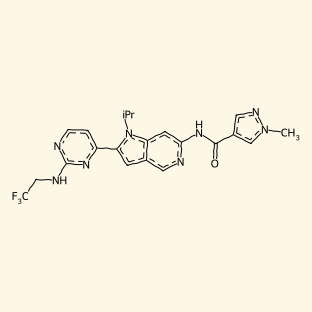 CC(C)n1c(-c2ccnc(NCC(F)(F)F)n2)cc2cnc(NC(=O)c3cnn(C)c3)cc21